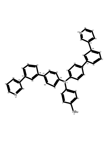 CCCCc1ccc(N(c2ccc(-c3cccc(-c4cccnc4)c3)cc2)c2ccc(-c3cccc(-c4cccnc4)c3)cc2)cc1